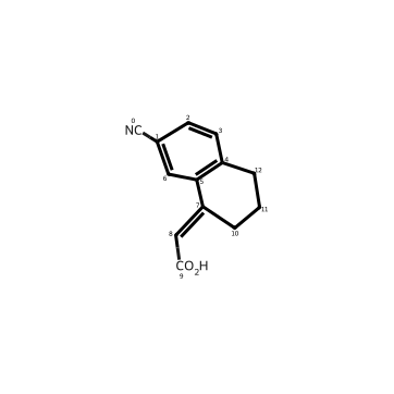 N#Cc1ccc2c(c1)C(=CC(=O)O)CCC2